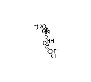 Cc1ccc(Oc2nnc(C3(C)C=C(NC(=O)COc4ccc(Cl)c(F)c4)C3)o2)cc1C